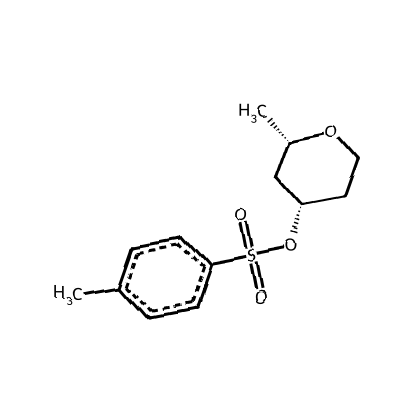 Cc1ccc(S(=O)(=O)O[C@H]2CCO[C@@H](C)C2)cc1